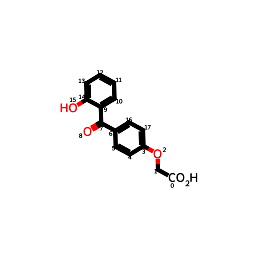 O=C(O)COc1ccc(C(=O)c2ccccc2O)cc1